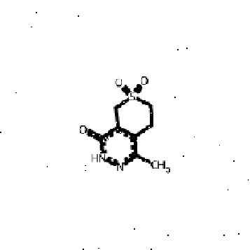 Cc1n[nH]c(=O)c2c1CCS(=O)(=O)C2